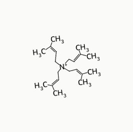 CC(C)=CC[N+](CC=C(C)C)(CC=C(C)C)CC=C(C)C